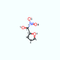 O=C(c1ccco1)[N+](=O)[O-]